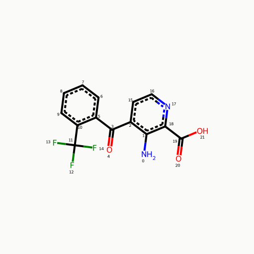 Nc1c(C(=O)c2ccccc2C(F)(F)F)ccnc1C(=O)O